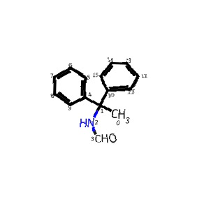 CC(NC=O)(c1ccccc1)c1ccccc1